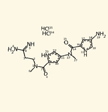 CN(CCC(=N)N)C(=O)c1cc(N(C)C(=O)c2cc(N)c[nH]2)c[nH]1.Cl.Cl